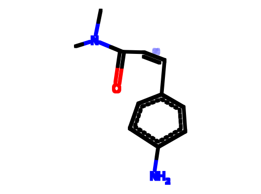 CN(C)C(=O)/C=C\c1ccc(N)cc1